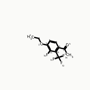 CCOc1ccc(C(C)=O)c(C(F)(F)F)c1F